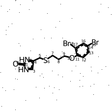 O=c1[nH]cc(CSCCCOc2ccc(Br)cc2Br)[nH]1